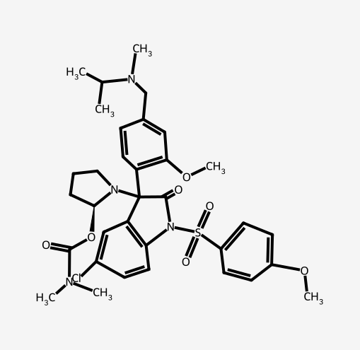 COc1ccc(S(=O)(=O)N2C(=O)C(c3ccc(CN(C)C(C)C)cc3OC)(N3CCC[C@@H]3OC(=O)N(C)C)c3cc(Cl)ccc32)cc1